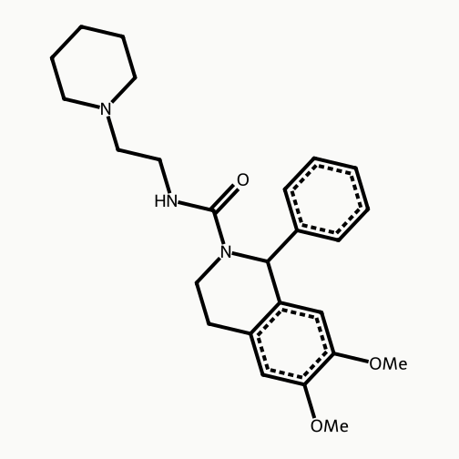 COc1cc2c(cc1OC)C(c1ccccc1)N(C(=O)NCCN1CCCCC1)CC2